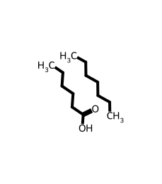 CCCCCC(=O)O.CCCCCCC